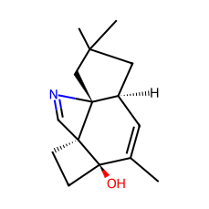 CC1=C[C@@H]2CC(C)(C)C[C@@]23N=C[C@@]32CC[C@@]12O